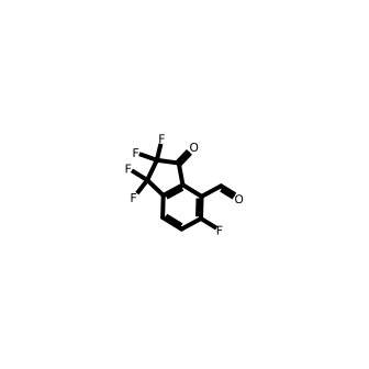 O=Cc1c(F)ccc2c1C(=O)C(F)(F)C2(F)F